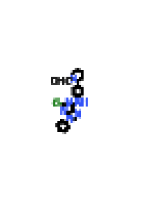 O=CN1CCCCC1c1ccc(Nc2nc(Cl)nc3c2ncn3-c2ccccc2)cc1